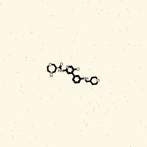 O=C(Nc1cc(-c2cccc(NCC3CCOCC3)c2)c(Cl)cn1)[C@H]1CNCCOC1